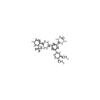 Cc1ccc(-c2nc(N3CCOCC3)nc(N3CCN(c4ncccc4C(F)(F)F)CC3)n2)cc1C